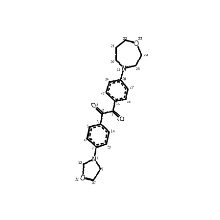 O=C(C(=O)c1ccc(N2CCOC2)cc1)c1ccc(N2CCCOCC2)cc1